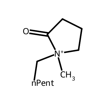 CCCCCC[N+]1(C)CCCC1=O